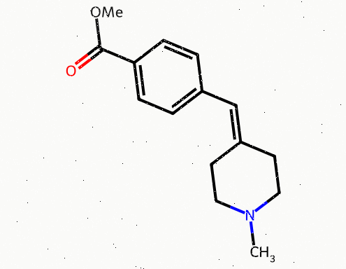 COC(=O)c1ccc(C=C2CCN(C)CC2)cc1